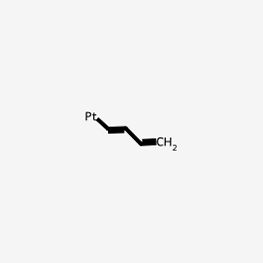 C=CC=[CH][Pt]